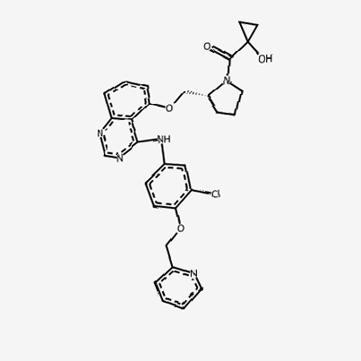 O=C(N1CCC[C@@H]1COc1cccc2ncnc(Nc3ccc(OCc4ccccn4)c(Cl)c3)c12)C1(O)CC1